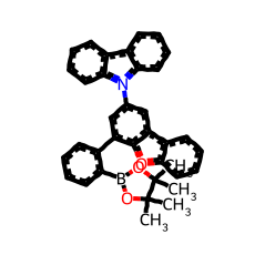 CC1(C)OB(c2ccccc2-c2cc(-n3c4ccccc4c4ccccc43)cc3c2oc2ccccc23)OC1(C)C